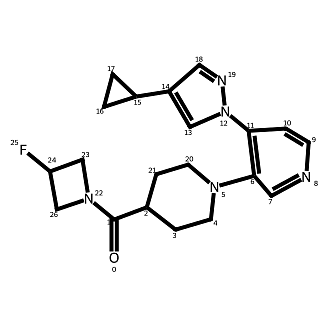 O=C(C1CCN(c2cnccc2-n2cc(C3CC3)cn2)CC1)N1CC(F)C1